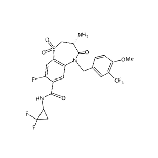 COc1ccc(CN2C(=O)[C@@H](N)CS(=O)(=O)c3cc(F)c(C(=O)NC4CC4(F)F)cc32)cc1C(F)(F)F